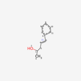 CC(O)C/C=C/c1ccccc1